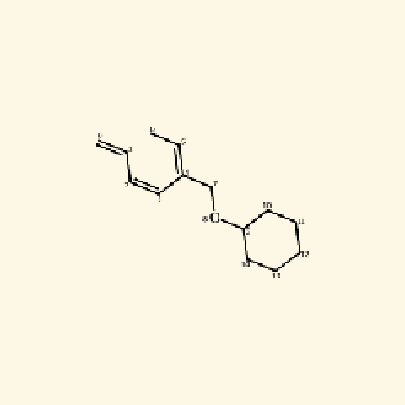 C=C/C=C\C(=C/C)COC1CCCCC1